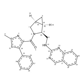 Cc1nc(C(=O)N2C[C@H]3C[C@H]3[C@H]2CNc2ncc3ccccc3n2)c(-c2ccccc2)s1